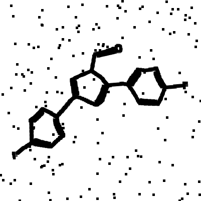 O=CC1C=C(c2ccc(F)cc2)C=C1c1ccc(F)cc1